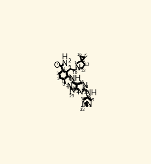 Cc1ccc(C(N)=O)c(CCN2CCC3(CC3)C2)c1Nc1nn(C)c2nc(Nc3cnn(C)c3)ncc12